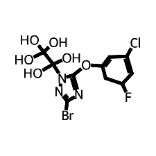 OC(O)(O)C(O)(O)n1nc(Br)nc1OC1=CC(Cl)=CC(F)C1